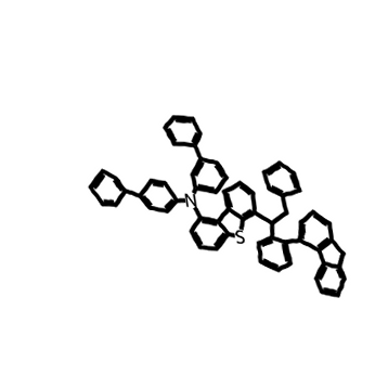 c1ccc(CC(c2ccccc2-c2cccc3c2-c2ccccc2C3)c2cccc3c2sc2cccc(N(c4ccc(-c5ccccc5)cc4)c4cccc(-c5ccccc5)c4)c23)cc1